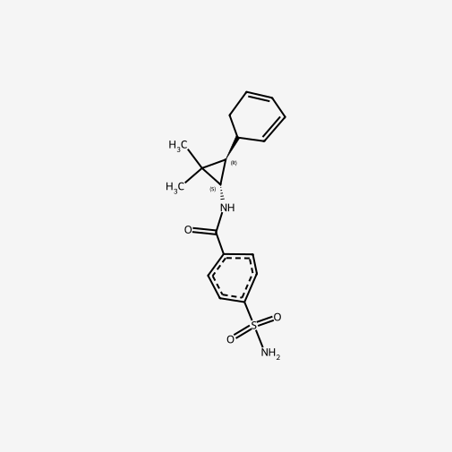 CC1(C)[C@@H](NC(=O)c2ccc(S(N)(=O)=O)cc2)[C@@H]1C1C=CC=CC1